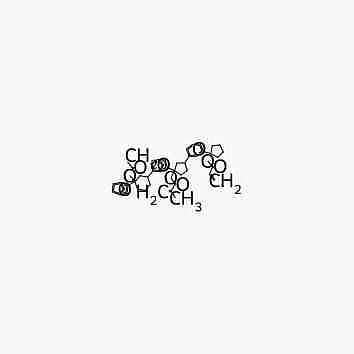 C=CC(=O)OC1(c2cc3ccc2o3)CCCC(c2cc3cc(C4(OC(=O)C(=C)C)CCC(c5cc6cc(C7(OC(=O)C=C)CCCC7)c5o6)C4)c2o3)C1